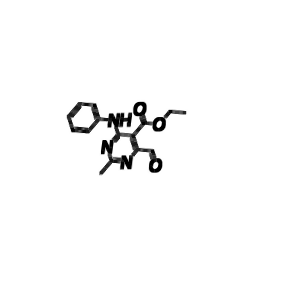 CCOC(=O)c1c(C=O)nc(C)nc1Nc1ccccc1